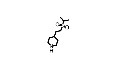 CC(C)S(=O)(=O)CCC1CCNCC1